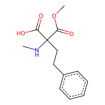 CNC(CCc1ccccc1)(C(=O)O)C(=O)OC